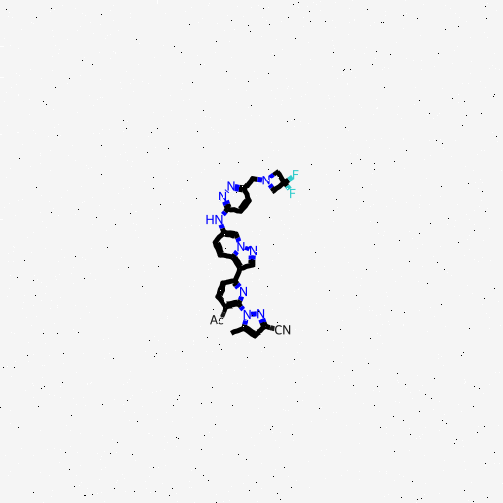 CC(=O)c1ccc(-c2cnn3cc(Nc4ccc(CN5CC(F)(F)C5)nn4)ccc23)nc1-n1nc(C#N)cc1C